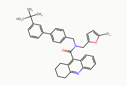 CC(C)(C(=O)O)c1cccc(-c2ccc(CN(Cc3ccc(C(F)(F)F)o3)C(=O)c3c4c(nc5ccccc35)CCCC4)cc2)c1